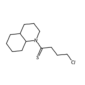 S=C(CCCCl)N1CCCC2CCCCC21